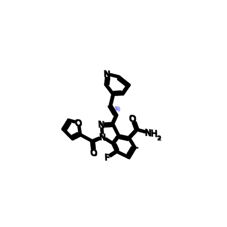 NC(=O)c1[c]cc(F)c2c1c(/C=C/c1cccnc1)nn2C(=O)c1ccco1